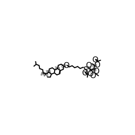 CC(=O)O[C@@H]1[C@@H](OC(C)=O)[C@H](SCCCCCCO[C@H]2CC[C@@]3(C)C(=CCC4C3CC[C@@]3(C)C4CC[C@@H]3[C@H](C)CCCC(C)C)C2)OC[C@@H]1OC(C)=O